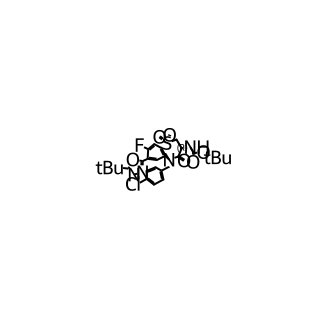 CC(C)(C)OC(=O)N[C@H]1CS(=O)(=O)c2cc(F)c(-c3nnc(C(C)(C)C)o3)cc2N(Cc2ccc(Cl)cc2)C1=O